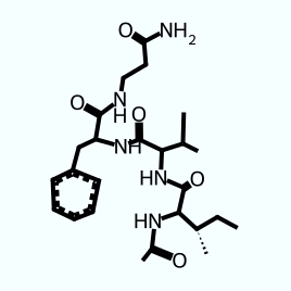 CC[C@H](C)C(NC(C)=O)C(=O)NC(C(=O)NC(Cc1ccccc1)C(=O)NCCC(N)=O)C(C)C